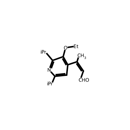 CCOc1c(/C(C)=C\C=O)cc(C(C)C)nc1C(C)C